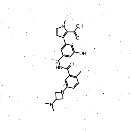 Cc1ccc(N2CC(N(C)C)C2)cc1C(=O)N[C@H](C)c1cc(O)cc(-c2ccn(C)c2C(=O)O)c1